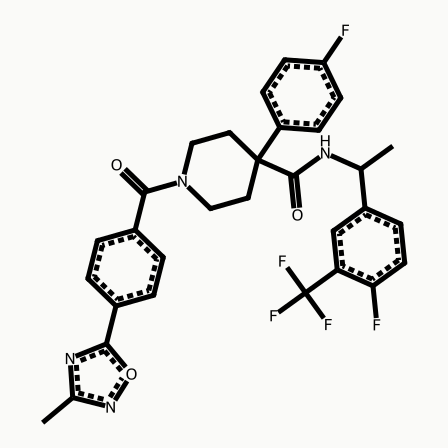 Cc1noc(-c2ccc(C(=O)N3CCC(C(=O)NC(C)c4ccc(F)c(C(F)(F)F)c4)(c4ccc(F)cc4)CC3)cc2)n1